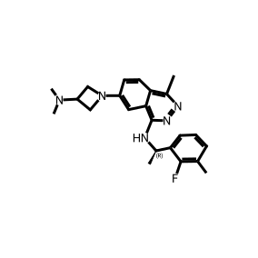 Cc1cccc([C@@H](C)Nc2nnc(C)c3ccc(N4CC(N(C)C)C4)cc23)c1F